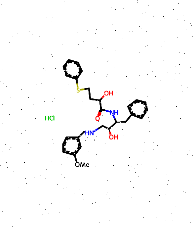 COc1cccc(CNC[C@H](O)[C@H](Cc2ccccc2)NC(=O)C(O)CCSc2ccccc2)c1.Cl